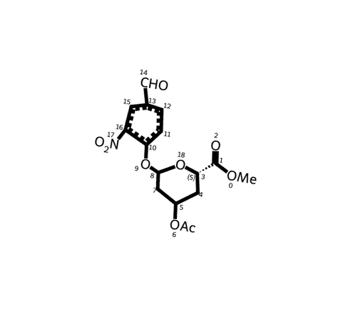 COC(=O)[C@@H]1CC(OC(C)=O)CC(Oc2ccc(C=O)cc2[N+](=O)[O-])O1